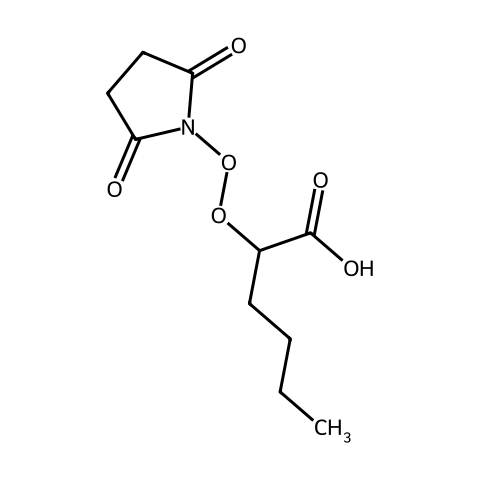 CCCCC(OON1C(=O)CCC1=O)C(=O)O